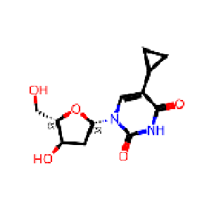 O=c1[nH]c(=O)n([C@@H]2CC(O)[C@H](CO)O2)cc1C1CC1